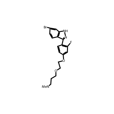 CNCCCOCCOc1ccc(-c2n[nH]c3cc(Br)ccc23)c(F)c1